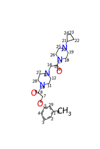 Cc1cccc(OCC(=O)N2CCN(CC(=O)N3CCN(C4CCC4)CC3)CC2)c1